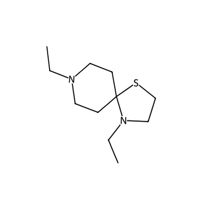 CCN1CCC2(CC1)SCCN2CC